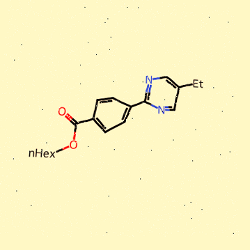 CCCCCCOC(=O)c1ccc(-c2ncc(CC)cn2)cc1